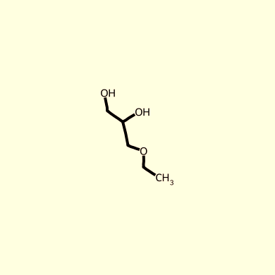 CCOCC(O)CO